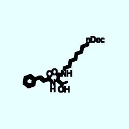 CCCCCCCCCCCCCCCCCCNC(=O)[C@@H](NC(=O)C=Cc1ccccc1)[C@@H](C)O